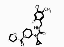 Cc1cc(CNC(=O)N(C2CC2)[C@@H]2CCCN(C(=O)[C@@H]3CCCO3)C2)c(F)cc1Cl